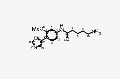 COc1cc(NC(=O)CCCCN)ccc1-c1cnco1